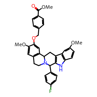 COC(=O)c1ccc(COc2cc3c(cc2OC)CCN2C3Cc3c([nH]c4ccc(OC)cc34)C2c2ccc(F)cc2)cc1